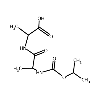 CC(C)OC(=O)NC(C)C(=O)NC(C)C(=O)O